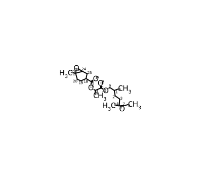 CC(CCC1(C)OC1C)COC(=O)C(C)OC(=O)C1CCC2(C)OC2C1